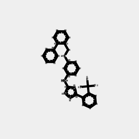 FC(F)(F)c1ccccc1-c1nnc(Nc2cccc(SCc3ccccc3-c3ccccc3)c2)s1